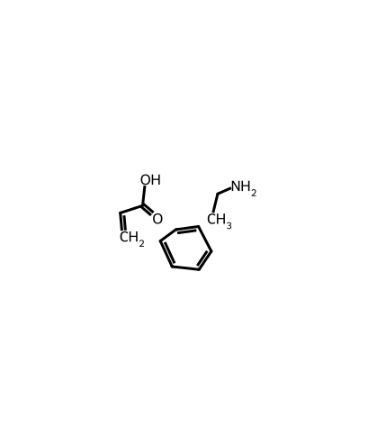 C=CC(=O)O.CCN.c1ccccc1